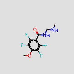 CNCNC(=O)c1c(F)c(F)c(OC)c(F)c1F